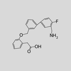 NCc1cc(-c2cccc(COc3ccccc3CC(=O)O)c2)ccc1F